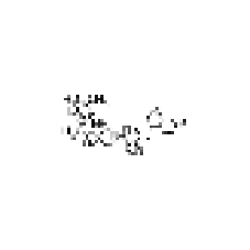 C[C@@H]1OCC2(CCN(c3ncc(Sc4ccnc5cc(F)ccc45)c4nccn34)CC2)[C@@H]1NC(=O)OC(C)(C)C